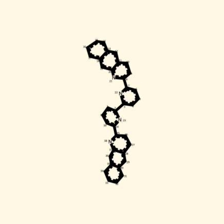 c1cc(-c2cccc(-c3ccc4cc5ccccc5cc4n3)n2)nc(-c2ccc3cc4ccccc4cc3n2)c1